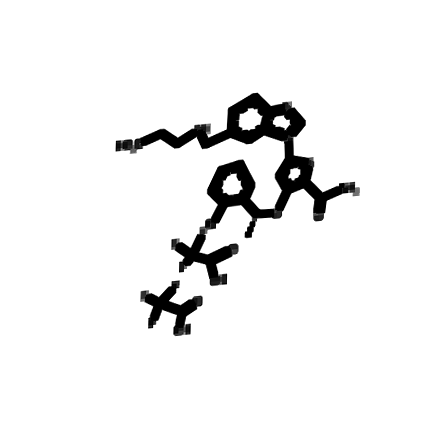 C[C@@H](Oc1cc(-n2cnc3ccc(CNCCC(=O)O)cc32)sc1C(N)=O)c1ccccc1Cl.O=C(O)C(F)(F)F.O=C(O)C(F)(F)F